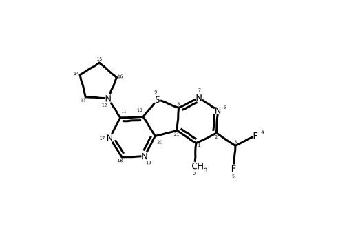 Cc1c(C(F)F)nnc2sc3c(N4CCCC4)ncnc3c12